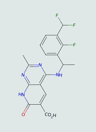 Cc1nc(NC(C)c2cccc(C(F)F)c2F)c2cc(C(=O)O)c(=O)[nH]c2n1